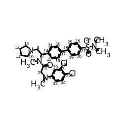 CN(CC(=O)N(C)C(CN1CCCC1)c1ccc(-c2ccc(S(=O)(=O)N(C)C)cc2)cc1)c1ccc(Cl)c(Cl)c1